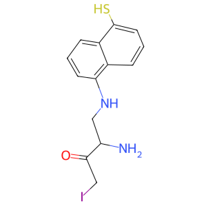 NC(CNc1cccc2c(S)cccc12)C(=O)CI